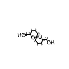 C#CC1CCCC2(CCCC(CO)O2)O1